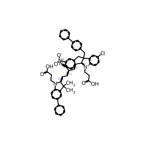 CC1(C)\C(=C/C=C(C#N)/C=C/C2=[N+](CCC(=O)O)c3ccc(Cl)cc3C2(Cc2ccc(-c3ccccc3)cc2)Cc2cccc([N+](=O)[O-])c2)N(CCC(=O)O)c2ccc(-c3ccccc3)cc21